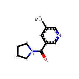 CSc1cncc(C(=O)N2CCCC2)c1